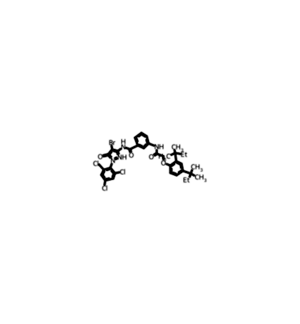 CCC(C)(C)c1ccc(OCC(=O)Nc2cccc(C(=O)Nc3[nH]n(-c4c(Cl)cc(Cl)cc4Cl)c(=O)c3Br)c2)c(C(C)(C)CC)c1